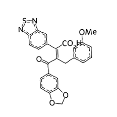 COc1cccc(C/C(C(=O)c2ccc3c(c2)OCO3)=C(\C(=O)O)c2ccc3nsnc3c2)c1